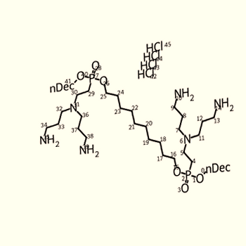 CCCCCCCCCCOP(=O)(CCN(CCCN)CCCN)OCCCCCCCCCCOP(=O)(CCN(CCCN)CCCN)OCCCCCCCCCC.Cl.Cl.Cl.Cl